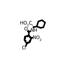 O=C(N[C@H](C(=O)O)C1CCCCC1)c1ccc(Cl)cc1[N+](=O)[O-]